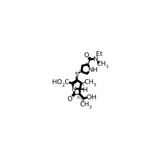 CCN(C)C(=O)[C@@H]1C[C@H](SC2=C(C(=O)O)N3C(=O)[C@H]([C@@H](C)O)[C@H]3[C@H]2C)CN1